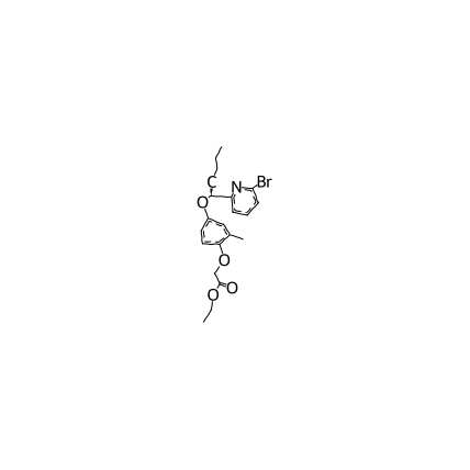 CCCC[C@H](Oc1ccc(OCC(=O)OCC)c(C)c1)c1cccc(Br)n1